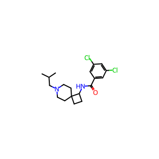 CC(C)CN1CCC2(CCC2NC(=O)c2cc(Cl)cc(Cl)c2)CC1